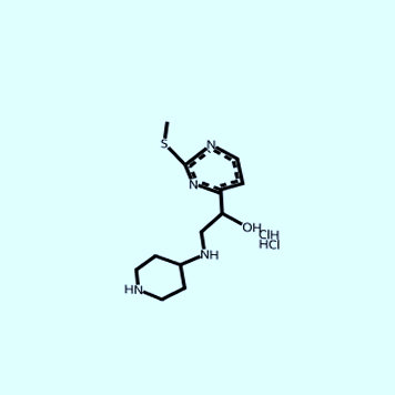 CSc1nccc(C(O)CNC2CCNCC2)n1.Cl.Cl